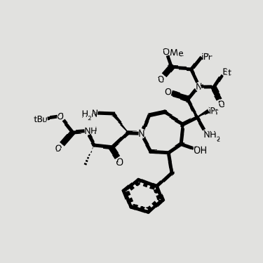 CCC(=O)N(C(=O)[C@@](N)(C(C)C)C1CCN([C@H](CN)C(=O)[C@H](C)NC(=O)OC(C)(C)C)CC(Cc2ccccc2)C1O)C(C(=O)OC)C(C)C